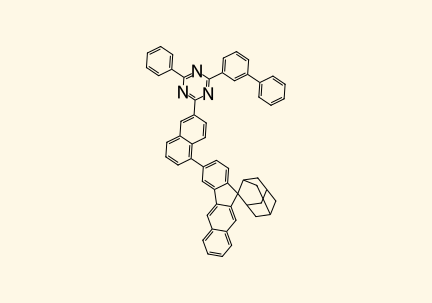 c1ccc(-c2cccc(-c3nc(-c4ccccc4)nc(-c4ccc5c(-c6ccc7c(c6)-c6cc8ccccc8cc6C76C7CC8CC(C7)CC6C8)cccc5c4)n3)c2)cc1